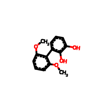 COc1[c]ccc(OC)c1-c1cccc(O)c1O